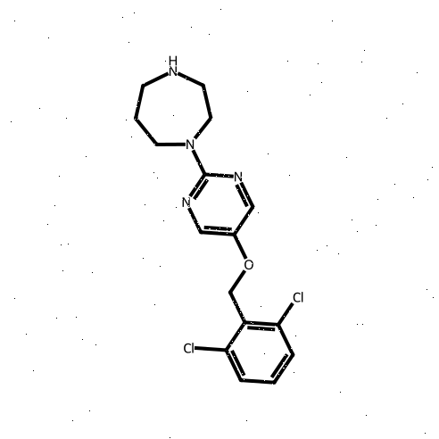 Clc1cccc(Cl)c1COc1cnc(N2CCCNCC2)nc1